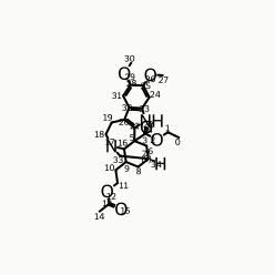 CCOC(=O)C12C[C@@H]3CC(CCOC(C)=O)C1N(CCc1c2[nH]c2cc(OC)c(OC)cc12)C3